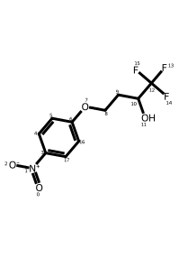 O=[N+]([O-])c1ccc(OCCC(O)C(F)(F)F)cc1